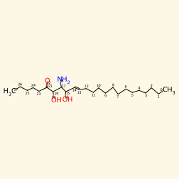 CCCCCCCCCCCCCC=CC(O)C(N)C(O)C(=O)CCCCC